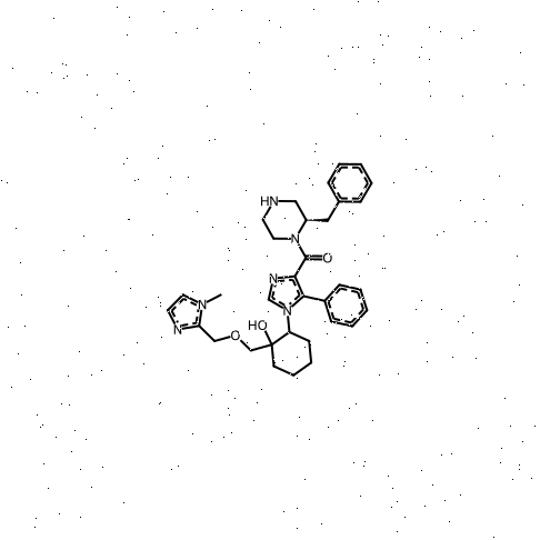 Cn1ccnc1COCC1(O)CCCCC1n1cnc(C(=O)N2CCNC[C@H]2Cc2ccccc2)c1-c1ccccc1